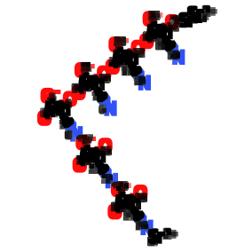 N#[C][Mn](=[O])(=[O])[O-].N#[C][Mn](=[O])(=[O])[O-].N#[C][Mn](=[O])(=[O])[O-].N#[C][Mn](=[O])(=[O])[O-].N#[C][Mn](=[O])(=[O])[O-].N#[C][Mn](=[O])(=[O])[O-].[Sr+2].[Sr+2].[Sr+2]